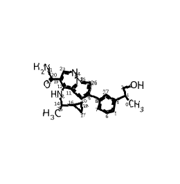 CC(CO)c1cccc(-c2cc3c(N[C@H](C)C4CC4)c(C(N)=O)cnn3c2)c1